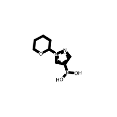 OB(O)c1cnn(C2CCCCO2)c1